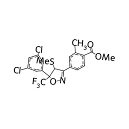 COC(=O)c1ccc(C2=NOC(c3cc(Cl)cc(Cl)c3)(C(F)(F)F)C2SC)cc1C